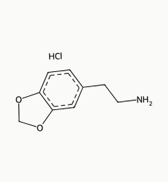 Cl.NCCc1ccc2c(c1)OCO2